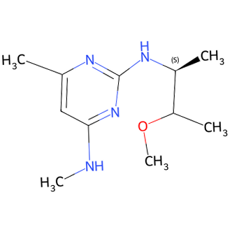 CNc1cc(C)nc(N[C@@H](C)C(C)OC)n1